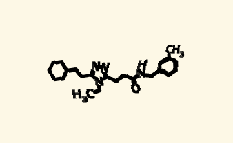 CCn1c(CCC(=O)NCc2cccc(C)c2)nnc1CCC1CCCCC1